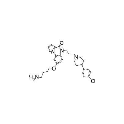 NCCCCOc1ccc2c(c1)n1cccc1c(=O)n2CCCN1CCC(c2ccc(Cl)cc2)CC1